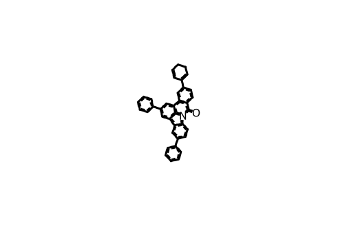 O=c1c2ccc(C3=CCCC=C3)cc2c2cc(-c3ccccc3)cc3c4cc(-c5ccccc5)ccc4n1c23